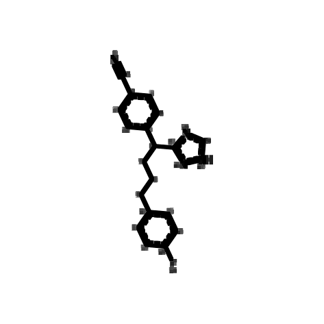 N#Cc1ccc(C(CCCc2ccc(F)cc2)c2nc[nH]n2)cc1